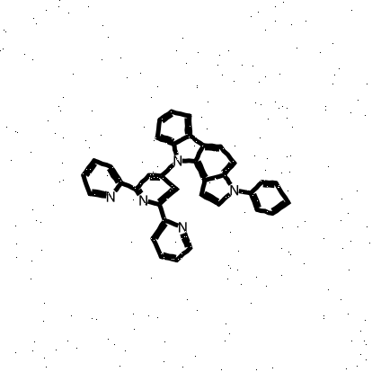 c1ccc(-n2ccc3c2ccc2c4ccccc4n(-c4cc(-c5ccccn5)nc(-c5ccccn5)c4)c23)cc1